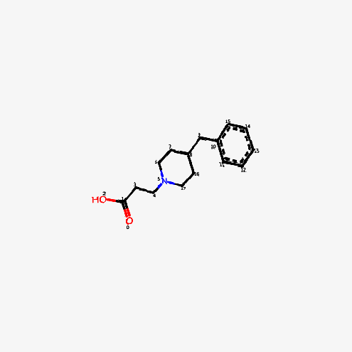 O=C(O)CCN1CCC(Cc2ccccc2)CC1